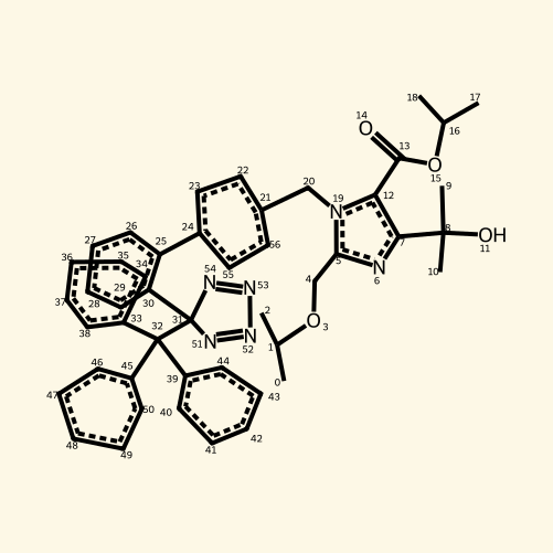 CC(C)OCc1nc(C(C)(C)O)c(C(=O)OC(C)C)n1Cc1ccc(-c2ccccc2C2(C(c3ccccc3)(c3ccccc3)c3ccccc3)N=NN=N2)cc1